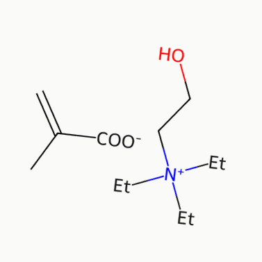 C=C(C)C(=O)[O-].CC[N+](CC)(CC)CCO